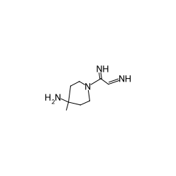 CC1(N)CCN(C(=N)C=N)CC1